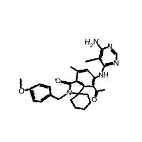 COc1ccc(CN2C(=O)c3c(C)cc(Nc4ncnc(N)c4C)c(C(C)=O)c3C23CCCCC3)cc1